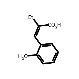 CCC(=Cc1ccccc1C)C(=O)O